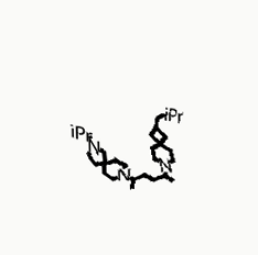 CC(C)CC1CC2(CCN(C(C)CCC(C)N3CCC4(CCN(C(C)C)C4)CC3)CC2)C1